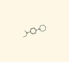 CCN(C)c1ccc(N2CCCCC2)cc1